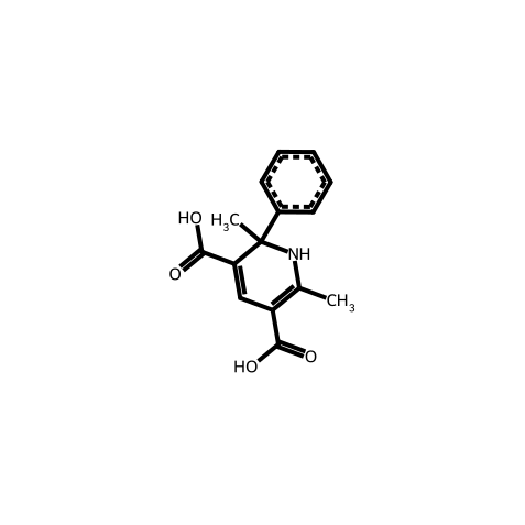 CC1=C(C(=O)O)C=C(C(=O)O)C(C)(c2ccccc2)N1